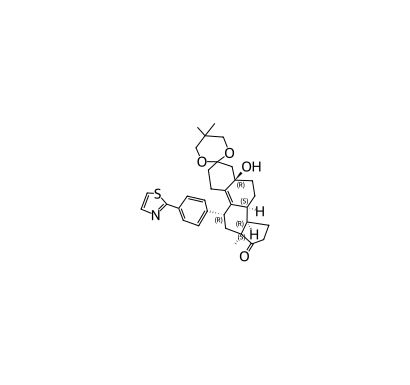 CC1(C)COC2(CCC3=C4[C@@H](CC[C@@]3(O)C2)[C@H]2CCC(=O)[C@@]2(C)C[C@@H]4c2ccc(-c3nccs3)cc2)OC1